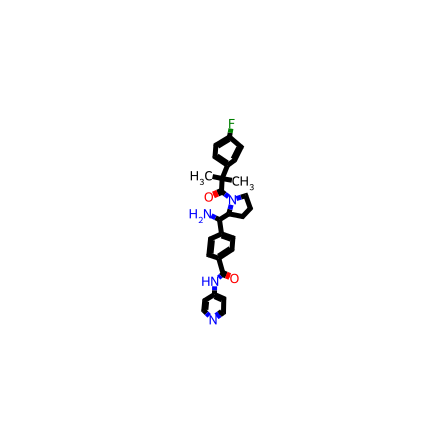 CC(C)(C(=O)N1CCCC1C(N)c1ccc(C(=O)Nc2ccncc2)cc1)c1ccc(F)cc1